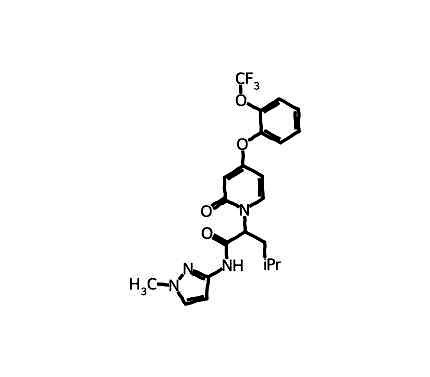 CC(C)CC(C(=O)Nc1ccn(C)n1)n1ccc(Oc2ccccc2OC(F)(F)F)cc1=O